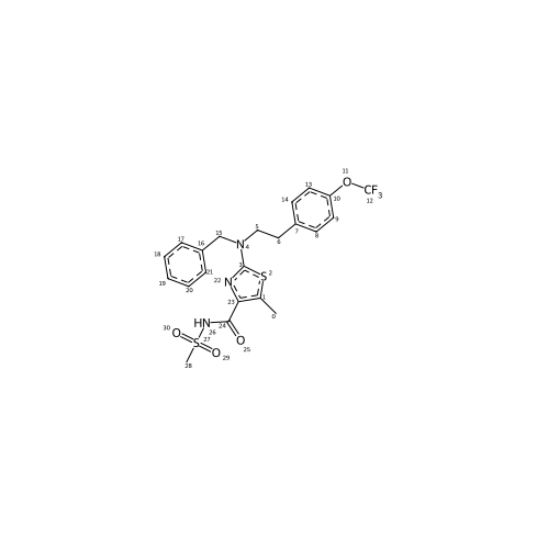 Cc1sc(N(CCc2ccc(OC(F)(F)F)cc2)Cc2ccccc2)nc1C(=O)NS(C)(=O)=O